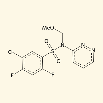 COCN(c1cccnn1)S(=O)(=O)c1cc(Cl)c(F)cc1F